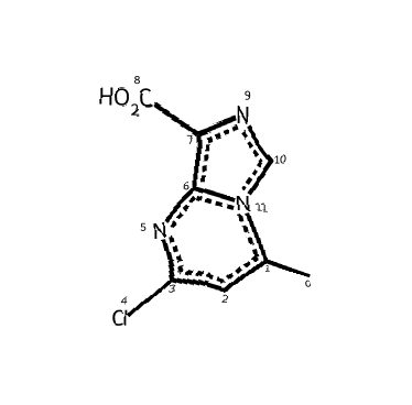 Cc1cc(Cl)nc2c(C(=O)O)ncn12